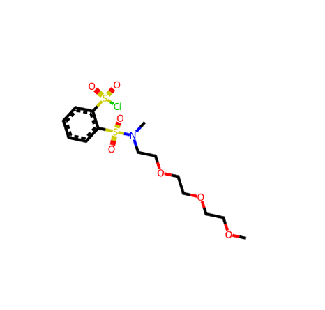 COCCOCCOCCN(C)S(=O)(=O)c1ccccc1S(=O)(=O)Cl